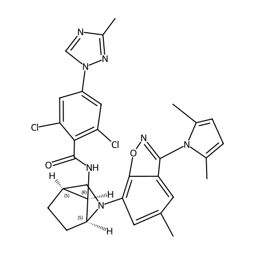 Cc1cc(N2C[C@@H]3CC[C@H]2[C@@H]3NC(=O)c2c(Cl)cc(-n3cnc(C)n3)cc2Cl)c2onc(-n3c(C)ccc3C)c2c1